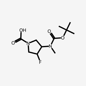 CN(C(=O)OC(C)(C)C)C1CN(C(=O)O)CC1F